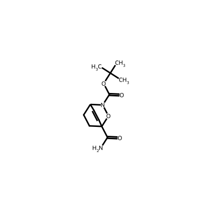 CC(C)(C)OC(=O)N1OC2(C(N)=O)C=CC1CC2